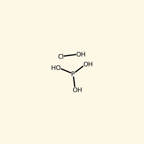 OCl.OP(O)O